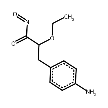 CCOC(Cc1ccc(N)cc1)C(=O)N=O